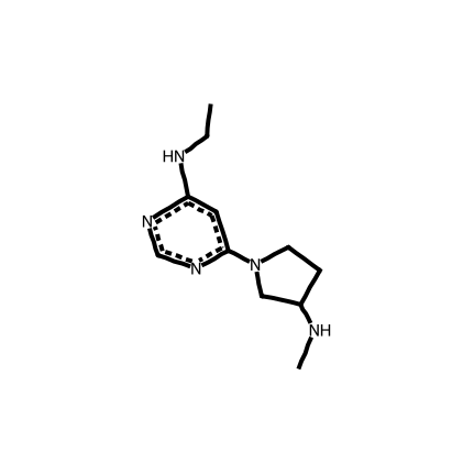 CCNc1cc(N2CCC(NC)C2)ncn1